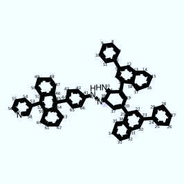 N=C1C(c2cc(-c3ccccc3)cc3ccccc23)=CC(c2cc(-c3ccccc3)cc3ccccc23)=C/C1=N/Nc1ccc(-c2c3ccccc3c(-c3cccnc3)c3ccccc23)cc1